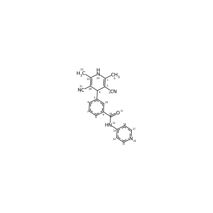 CC1=C(C#N)C(c2cccc(C(=O)Nc3ccncc3)c2)C(C#N)=C(C)N1